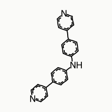 c1cc(-c2ccc(Nc3ccc(-c4ccncc4)cc3)cc2)ccn1